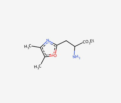 CCOC(=O)C(N)Cc1nc(C)c(C)o1